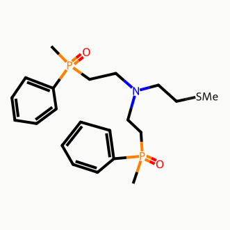 CSCCN(CCP(C)(=O)c1ccccc1)CCP(C)(=O)c1ccccc1